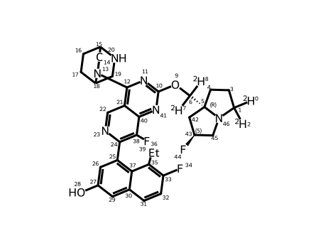 [2H]C1([2H])CC[C@]2(C([2H])([2H])Oc3nc(N4CC5CCC4CN5)c4cnc(-c5cc(O)cc6ccc(F)c(CC)c56)c(F)c4n3)C[C@H](F)CN12